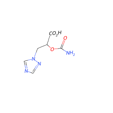 NC(=O)OC(Cn1cncn1)C(=O)O